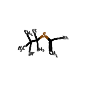 BC(CC)(SC(=C)CC)C(C)(C)C(C)C